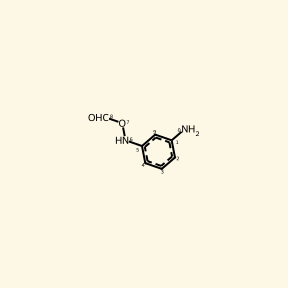 Nc1cccc(NOC=O)c1